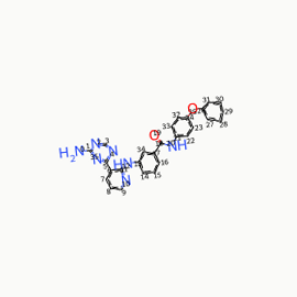 Nc1ncnc(-c2cccnc2Nc2cccc(C(=O)Nc3ccc(Oc4ccccc4)cc3)c2)n1